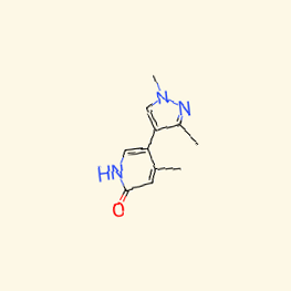 Cc1cc(=O)[nH]cc1-c1cn(C)nc1C